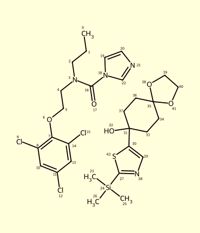 CCCN(CCOc1c(Cl)cc(Cl)cc1Cl)C(=O)n1ccnc1.C[Si](C)(C)c1ncc(C2(O)CCC3(CC2)OCCO3)s1